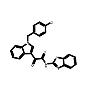 O=C(Nc1nc2ccccc2s1)C(=O)c1cn(Cc2ccc(Cl)cc2)c2ccccc12